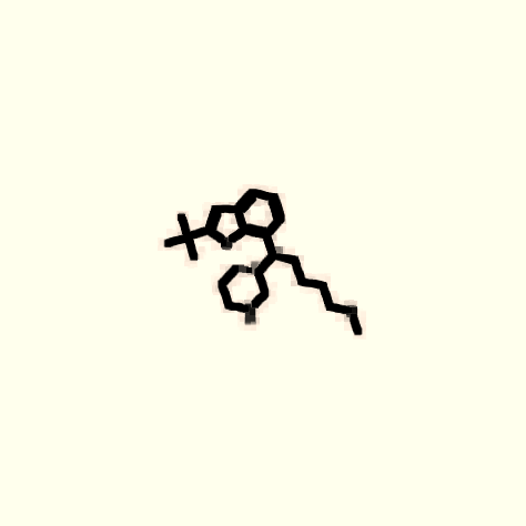 COCCCC[C@H](c1cccc2cc(C(C)(C)C)oc12)[C@H]1CCCNC1